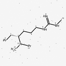 CC(C)C[C@H](CCCNC(=N)BI)N(C)C(C)C